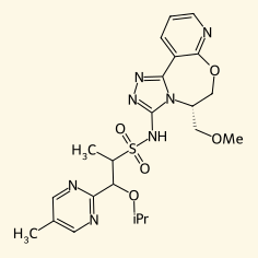 COC[C@H]1COc2ncccc2-c2nnc(NS(=O)(=O)C(C)C(OC(C)C)c3ncc(C)cn3)n21